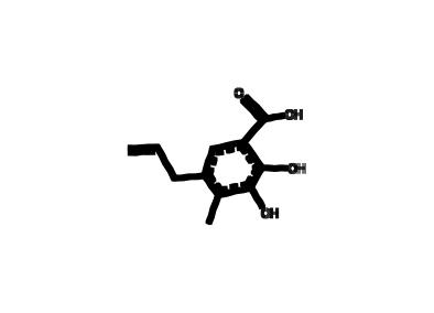 C=CCc1cc(C(=O)O)c(O)c(O)c1C